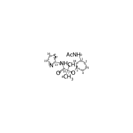 CC(=O)Nc1cccc(OC(C)(C)C(=O)Nc2nccs2)c1